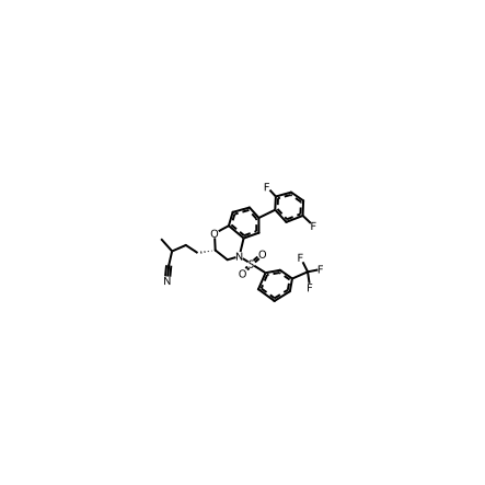 CC(C#N)CC[C@H]1CN(S(=O)(=O)c2cccc(C(F)(F)F)c2)c2cc(-c3cc(F)ccc3F)ccc2O1